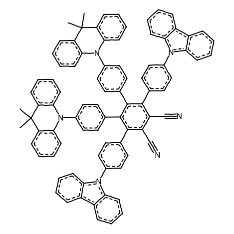 CC1(C)c2ccccc2N(c2ccc(-c3c(-c4ccc(-n5c6ccccc6c6ccccc65)cc4)c(C#N)c(C#N)c(-c4ccc(-n5c6ccccc6c6ccccc65)cc4)c3-c3ccc(N4c5ccccc5C(C)(C)c5ccccc54)cc3)cc2)c2ccccc21